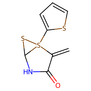 C=C1C(=O)NC2SS12c1cccs1